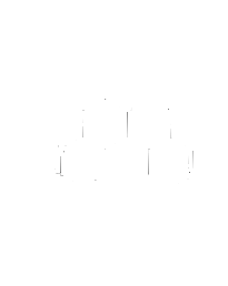 CCCC1C(C)CC(c2ccncc2N)CC1NC(=O)OC(C)(C)C